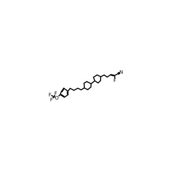 N#CC(F)=CCCC1CCC(C2CCC(CCCCc3ccc(OC(F)(F)F)cc3)CC2)CC1